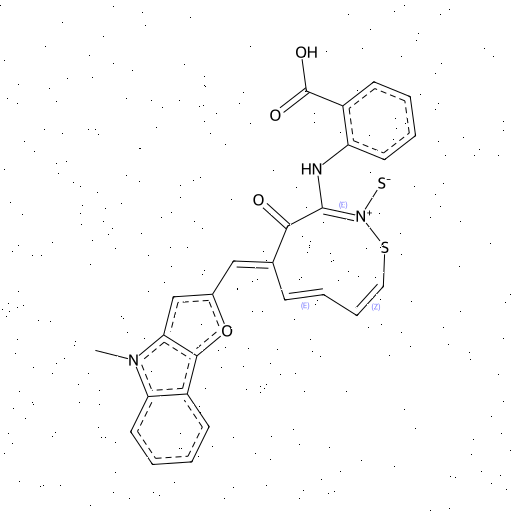 Cn1c2ccccc2c2oc(C=C3/C=C/C=C\S/[N+]([S-])=C(/Nc4ccccc4C(=O)O)C3=O)cc21